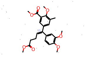 COC(=O)CC/C=C(\c1ccc(OC)c(OC)c1)c1cc(C)c(OC)c(C(=O)OC)c1